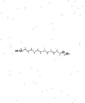 CCCCCCCCCCCCCCCCCCOCCOC(C)C